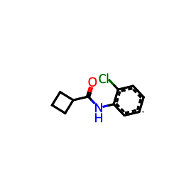 O=C(Nc1c[c]ccc1Cl)C1CCC1